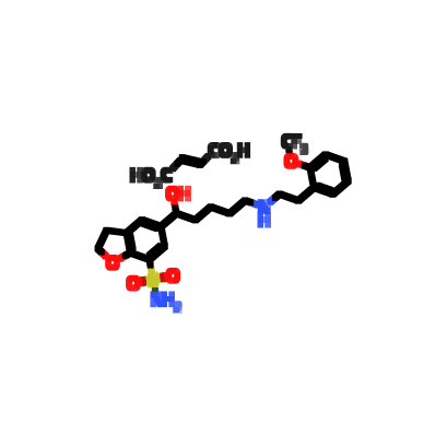 NS(=O)(=O)c1cc(C(O)CCCCNCCc2ccccc2OC(F)(F)F)cc2c1OCC2.O=C(O)C=CC(=O)O